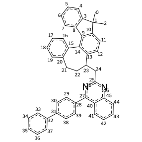 CC1(C)c2ccccc2-c2c1ccc1c2-c2ccccc2CCC1Cc1nc(-c2ccc(-c3ccccc3)cc2)c2ccccc2n1